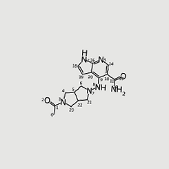 CC(=O)N1CC2CN(Nc3c(C(N)=O)cnc4[nH]ccc34)CC2C1